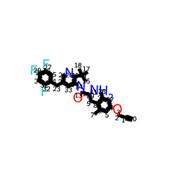 C#CCOc1cc(C)c(C[C@H](N)C(=O)N2CC(C)(C)c3ncc(Cc4cc(F)c(F)cc4F)cc32)c(C)c1